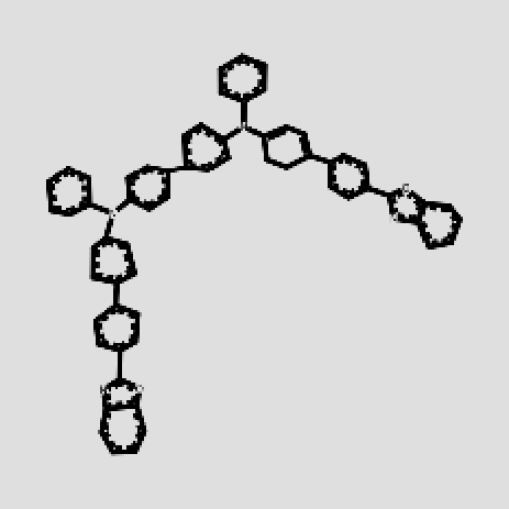 C1=C(c2ccc(-c3nc4ccccc4o3)cc2)CCC(N(c2ccccc2)c2ccc(-c3ccc(N(c4ccccc4)c4ccc(-c5ccc(-c6nc7ccccc7o6)cc5)cc4)cc3)cc2)=C1